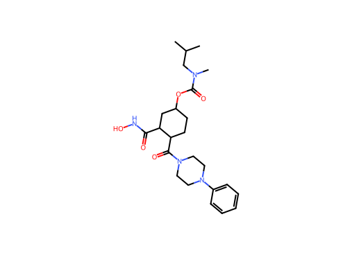 CC(C)CN(C)C(=O)OC1CCC(C(=O)N2CCN(c3ccccc3)CC2)C(C(=O)NO)C1